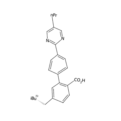 CCCc1cnc(-c2ccc(-c3cc(C[C@@H](C)CC)ccc3C(=O)O)cc2)nc1